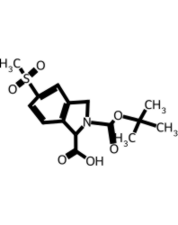 CC(C)(C)OC(=O)N1Cc2cc(S(C)(=O)=O)ccc2C1C(=O)O